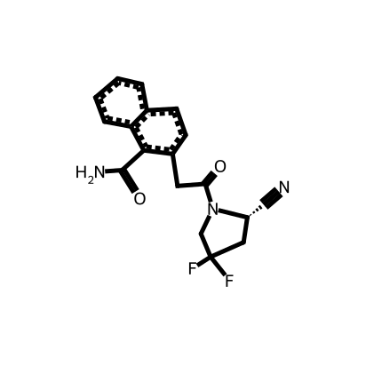 N#C[C@@H]1CC(F)(F)CN1C(=O)Cc1ccc2ccccc2c1C(N)=O